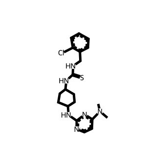 CN(C)c1ccnc(NC2CCC(NC(=S)NCc3ccccc3Cl)CC2)n1